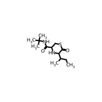 CCC(C)C1NC(C(=O)NC(C)(C)C)CSC1=O